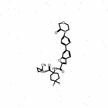 N#CC1(NC(=O)C2(NC(=O)c3cc4ccc(-c5ccc(N6CCOCC6=O)cc5)cc4o3)CCC(F)(F)CC2)CC1